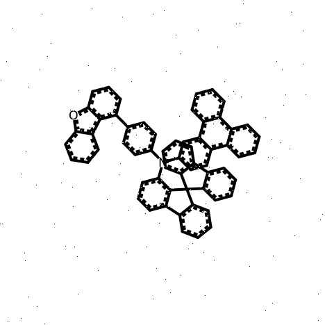 c1ccc2c(c1)-c1ccccc1C21c2ccccc2-c2cccc(N(c3ccc(-c4cccc5oc6ccccc6c45)cc3)c3ccc4c5ccccc5c5ccccc5c4c3)c21